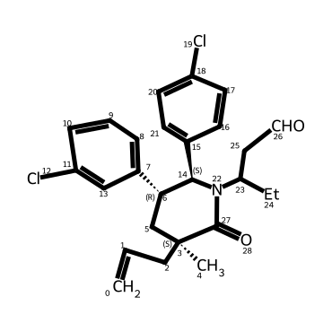 C=CC[C@@]1(C)C[C@H](c2cccc(Cl)c2)[C@@H](c2ccc(Cl)cc2)N(C(CC)CC=O)C1=O